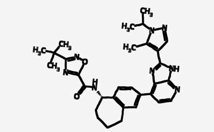 Cc1c(-c2nc3c(-c4ccc5c(c4)CCCC[C@@H]5NC(=O)c4nc(C(C)(C)C)no4)ccnc3[nH]2)cnn1C(C)C